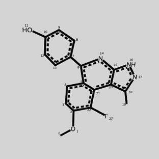 COc1ccc2c(-c3ccc(O)cc3)nc3[nH]nc(C)c3c2c1F